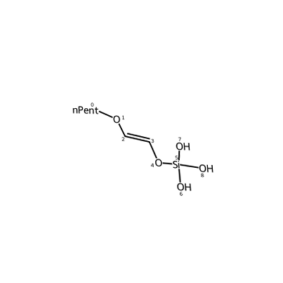 CCCCCOC=CO[Si](O)(O)O